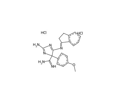 COc1ccc(C2(C(=N)N)N=C(N)N=C2N=C2CCc3ccccc32)cc1.Cl.Cl